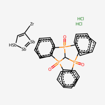 Cl.Cl.O=P(c1ccccc1)(c1ccccc1)C(P(=O)(c1ccccc1)c1ccccc1)P(=O)(c1ccccc1)c1ccccc1.[Zr][C]1=[CH][SbH][Sb]=[Sb]1